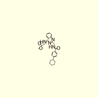 COC(=O)CNc1nc(CNC(=O)c2ccc(C3CCCCC3)cc2)nc2ccccc12